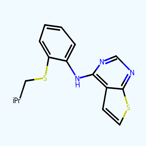 CC(C)CSc1ccccc1Nc1ncnc2sccc12